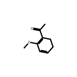 COC1=C(C(C)=O)CCC=C1